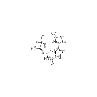 C[C@H]1NCCn2c(-c3nc(Cl)ns3)nnc21.O=C(O)C(F)(F)F